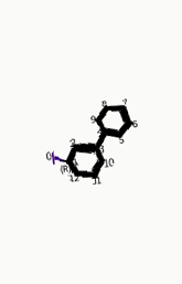 I[C@H]1C=C(C2=CC=CCC2)C=CC1